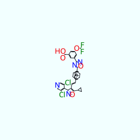 O=C(O)c1cc(OC(F)F)cc(-c2noc(C34CCC(C=Cc5c(-c6c(Cl)cncc6Cl)noc5C5CC5)(CC3)CC4)n2)c1